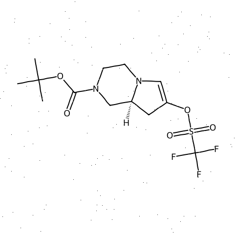 CC(C)(C)OC(=O)N1CCN2C=C(OS(=O)(=O)C(F)(F)F)C[C@H]2C1